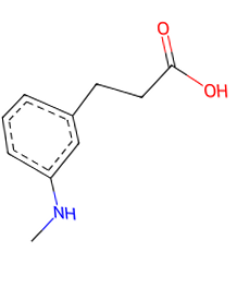 CNc1cccc(CCC(=O)O)c1